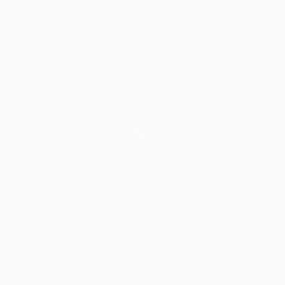 CC(C)c1cccc2c1[nH]c1c(I)cccc12